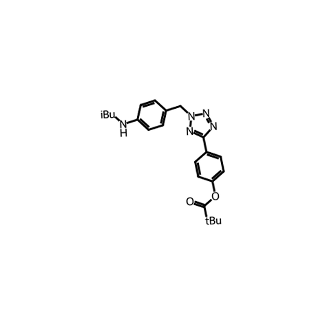 CCC(C)Nc1ccc(Cn2nnc(-c3ccc(OC(=O)C(C)(C)C)cc3)n2)cc1